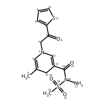 CC1=CN(CC(=O)c2cccs2)C=C(C(=O)N(N)S(C)(=O)=O)C1